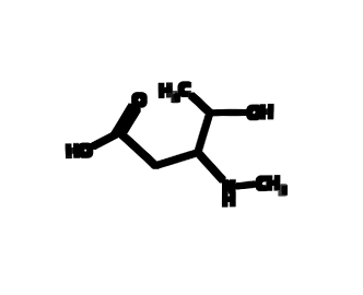 CNC(CC(=O)O)C(C)O